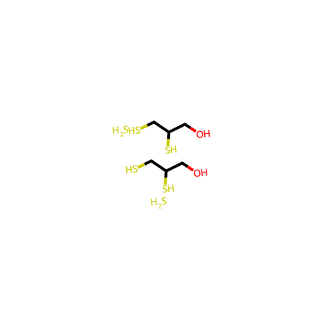 OCC(S)CS.OCC(S)CS.S.S